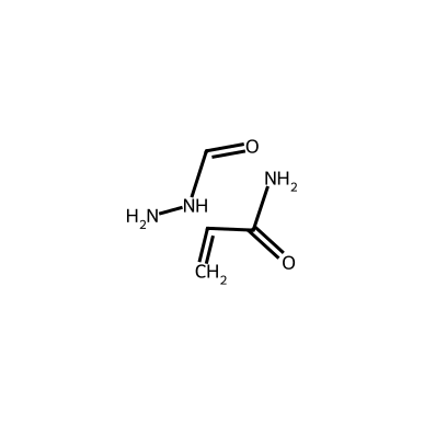 C=CC(N)=O.NNC=O